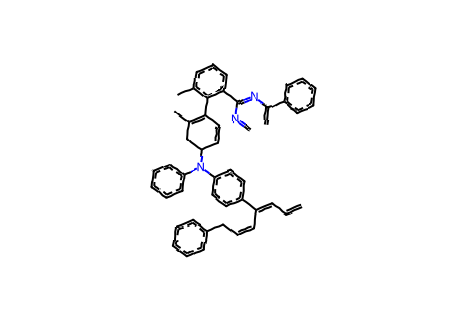 C=C/C=C(\C=C/Cc1ccccc1)c1ccc(N(c2ccccc2)C2C=CC(c3c(C)cccc3/C(N=C)=N/C(=C)c3ccccc3)=C(C)C2)cc1